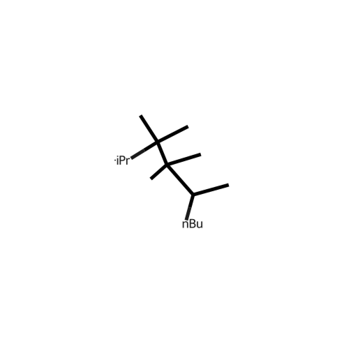 CCCCC(C)C(C)(C)C(C)(C)[C](C)C